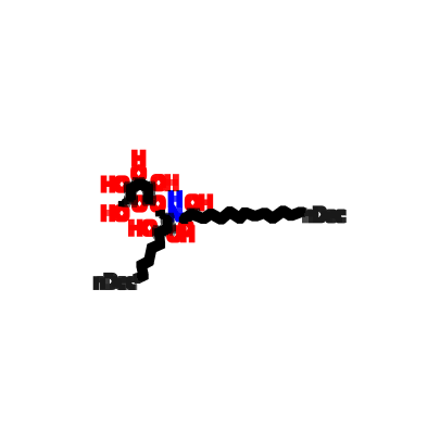 CCCCCCCCCCCCCCCCCCCCCC[C@@H](O)C(=O)N[C@@H](CO[C@@H]1O[C@H](CO)[C@@H](O)[C@H](O)[C@H]1O)[C@H](O)[C@H](O)CCCCCCCCCCCCCCC